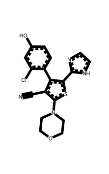 N#Cc1c(N2CCOCC2)sc(-c2ncc[nH]2)c1-c1ccc(O)cc1Cl